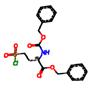 O=C(N[C@@H](CCS(=O)(=O)Cl)C(=O)OCc1ccccc1)OCc1ccccc1